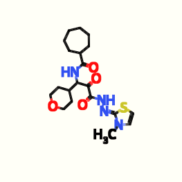 Cn1ccs/c1=N\NC(=O)C(=O)C(NC(=O)C1CCCCCC1)C1CCOCC1